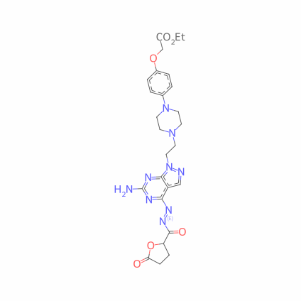 CCOC(=O)COc1ccc(N2CCN(CCn3ncc4c(/N=N/C(=O)C5CCC(=O)O5)nc(N)nc43)CC2)cc1